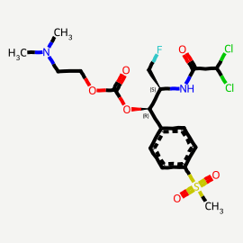 CN(C)CCOC(=O)O[C@H](c1ccc(S(C)(=O)=O)cc1)[C@@H](CF)NC(=O)C(Cl)Cl